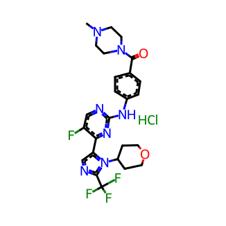 CN1CCN(C(=O)c2ccc(Nc3ncc(F)c(-c4cnc(C(F)(F)F)n4C4CCOCC4)n3)cc2)CC1.Cl